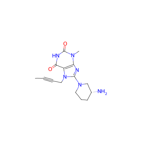 CC#CCn1c(N2CCC[C@@H](N)C2)nc2c1c(=O)[nH]c(=O)n2C